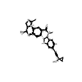 Cc1ncc2c(N)nc3ccc(C(=O)N(C)[C@@H]4COc5cc(C#CC6(O)CC6)ccc54)cc3n12